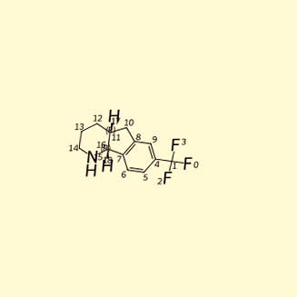 FC(F)(F)c1ccc2c(c1)C[C@H]1CCCN[C@@H]21